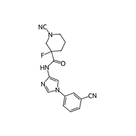 N#Cc1cccc(-n2cnc(NC(=O)C3(F)CCCN(C#N)C3)c2)c1